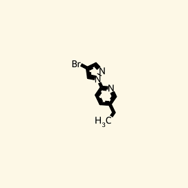 CCc1ccc(-n2cc(Br)cn2)nc1